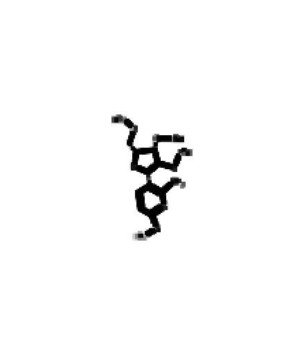 CCCCOC[C@H]1O[C@@H](c2ccc(OCCCC)nc2C)C(OCCCC)[C@H]1OCCCC